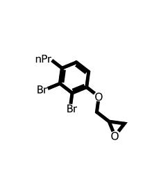 CCCc1ccc(OCC2CO2)c(Br)c1Br